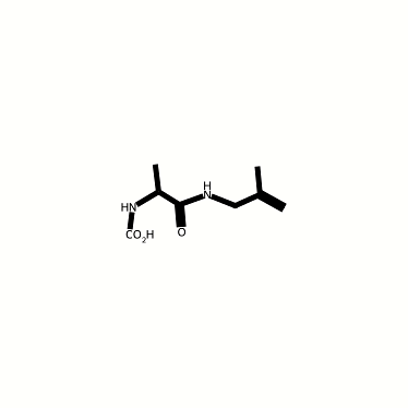 C=C(C)CNC(=O)C(C)NC(=O)O